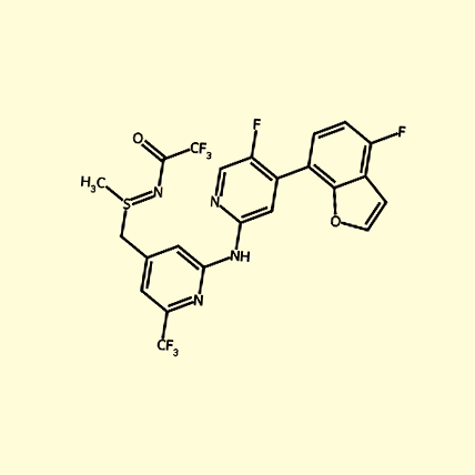 CS(Cc1cc(Nc2cc(-c3ccc(F)c4ccoc34)c(F)cn2)nc(C(F)(F)F)c1)=NC(=O)C(F)(F)F